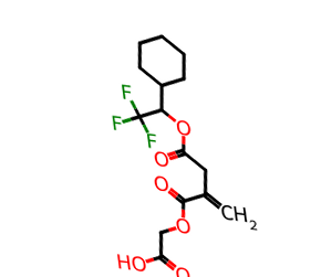 C=C(CC(=O)OC(C1CCCCC1)C(F)(F)F)C(=O)OCC(=O)O